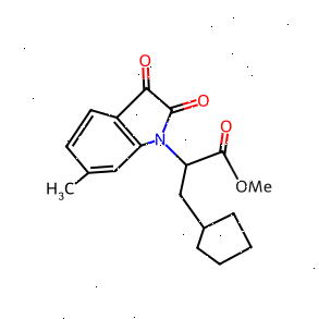 COC(=O)C(CC1CCCC1)N1C(=O)C(=O)c2ccc(C)cc21